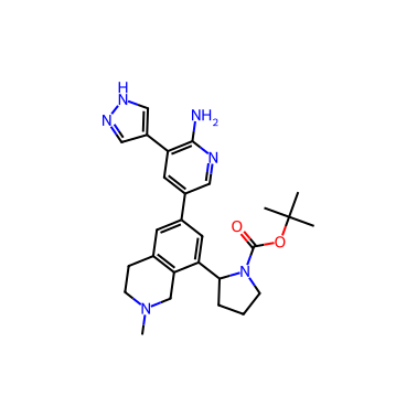 CN1CCc2cc(-c3cnc(N)c(-c4cn[nH]c4)c3)cc(C3CCCN3C(=O)OC(C)(C)C)c2C1